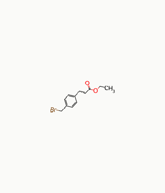 CCOC(=O)C=Cc1ccc(CBr)cc1